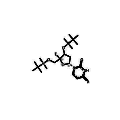 CC(C)(C)[Si](C)(C)OC[C@@]1(F)O[C@@H](n2ccc(=S)[nH]c2=O)CC1O[Si](C)(C)C(C)(C)C